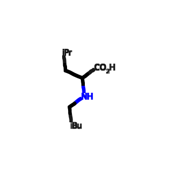 CCC(C)CNC(CC(C)C)C(=O)O